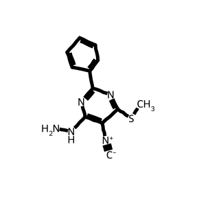 [C-]#[N+]c1c(NN)nc(-c2ccccc2)nc1SC